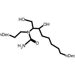 CCCCCCCCCCCCCCCC(O)C(CO)N(CCCCCCCCCCCC)C(N)=O